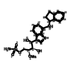 CO[C@H](COS(N)(=O)=O)[C@@H](O)[C@@H](O)n1cnc2c(N[C@H]3CCc4ccccc43)nccc21